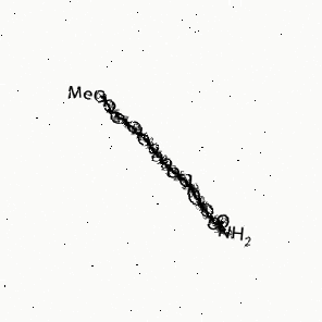 COCCOCCOCCOCCOCCOCCOCCOCCOCCOCCOCCOCCOC(=O)CN